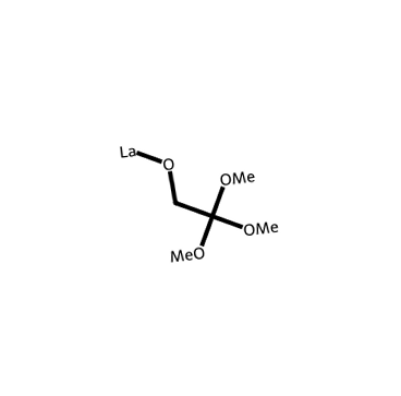 COC(C[O][La])(OC)OC